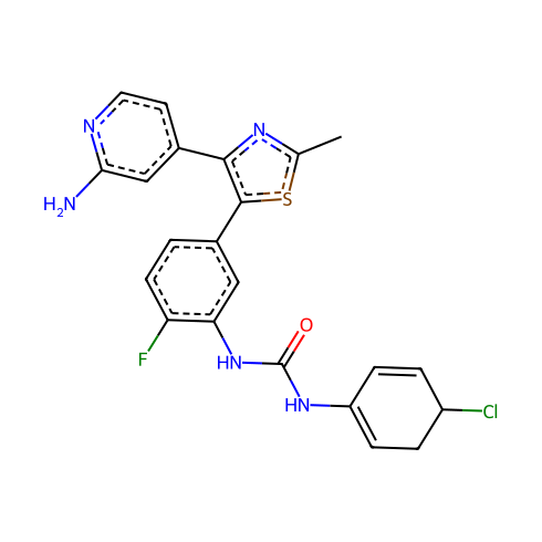 Cc1nc(-c2ccnc(N)c2)c(-c2ccc(F)c(NC(=O)NC3=CCC(Cl)C=C3)c2)s1